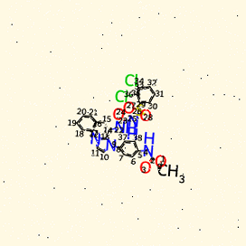 COC(=O)Nc1ccc(-n2ccnc2[C@H](Cc2ccccc2)NC(=O)NS(=O)(=O)c2cccc(Cl)c2Cl)cc1